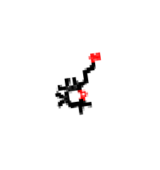 CC1(C)C[Si](C)(C)[Si](C)(C)[Si](C)(CCCO)O1